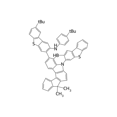 CC(C)(C)c1ccc(Nc2cc3c(cc2-c2ccc4c5c6c(ccc5n5c4c2Bc2cc4c(cc2-5)sc2ccccc24)C(C)(C)c2ccccc2-6)sc2ccc(C(C)(C)C)cc23)cc1